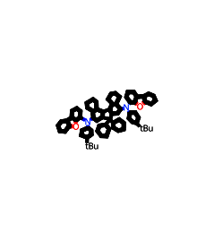 CC(C)(C)c1ccc(N(c2cc3c(c4ccccc24)-c2c(cc(N(c4ccc(C(C)(C)C)cc4)c4cccc5c4oc4ccccc45)c4ccccc24)C3(c2ccccc2)c2ccccc2)c2cccc3c2oc2ccccc23)cc1